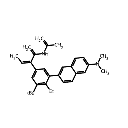 C=C(C)NC(=C)/C(=C\C)c1cc(-c2ccc3cc(N(C)C)ccc3c2)c(CC)c(C(C)(C)C)c1